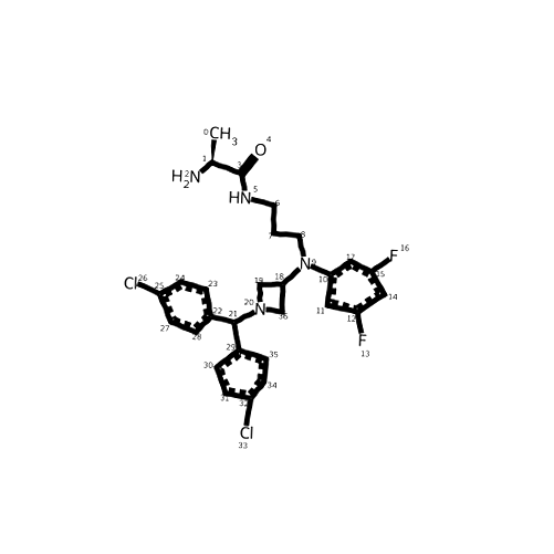 C[C@H](N)C(=O)NCCCN(c1cc(F)cc(F)c1)C1CN(C(c2ccc(Cl)cc2)c2ccc(Cl)cc2)C1